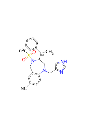 CCCS(=O)(=O)N1Cc2cc(C#N)ccc2N(Cc2c[nH]cn2)CC1[C@@H](C)c1ccccc1